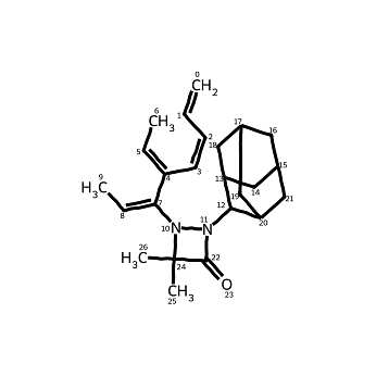 C=C\C=C/C(=C\C)C(=C\C)/N1N(C2C3CC4CC(C3)CC2C4)C(=O)C1(C)C